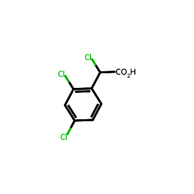 O=C(O)C(Cl)c1ccc(Cl)cc1Cl